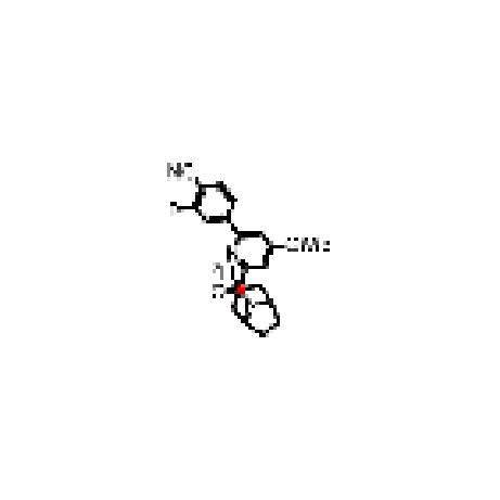 [2H]C1CC2CCC(C1)N2C(=O)c1cc(OC)cc(-c2ccc(C#N)c(F)c2)n1